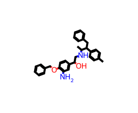 Cc1ccc(C(Cc2ccccc2)C(C)NCC(O)c2ccc(OCc3ccccc3)c(N)c2)cc1